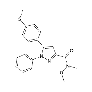 CON(C)C(=O)c1cc(-c2ccc(SC)cc2)n(-c2ccccc2)n1